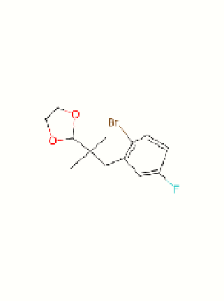 CC(C)(Cc1cc(F)ccc1Br)C1OCCO1